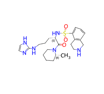 C[C@@H]1CCCCN1C(=O)[C@H](CCCNc1ncc[nH]1)NS(=O)(=O)c1cccc2c1CCNC2